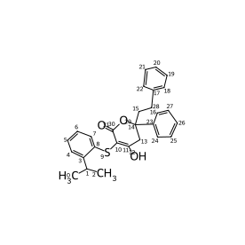 CC(C)c1ccccc1SC1=C(O)CC(CCc2ccccc2)(c2ccccc2)OC1=O